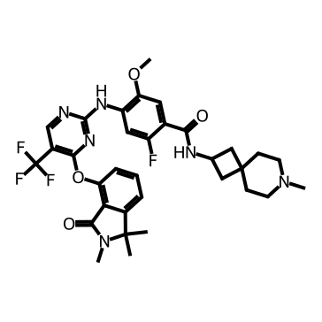 COc1cc(C(=O)NC2CC3(CCN(C)CC3)C2)c(F)cc1Nc1ncc(C(F)(F)F)c(Oc2cccc3c2C(=O)N(C)C3(C)C)n1